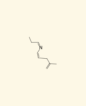 C=C(C)C/C=C\N=C/CC